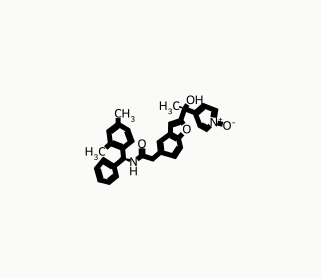 Cc1ccc([C@@H](NC(=O)Cc2ccc3oc([C@@](C)(O)c4cc[n+]([O-])cc4)cc3c2)c2ccccc2)c(C)c1